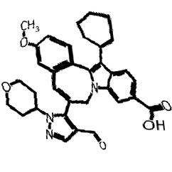 COc1ccc2c(c1)C=C(c1c(C=O)cnn1C1CCOCC1)Cn1c-2c(C2CCCCC2)c2ccc(C(=O)O)cc21